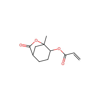 C=CC(=O)OC1CCC2CC1(C)OC2=O